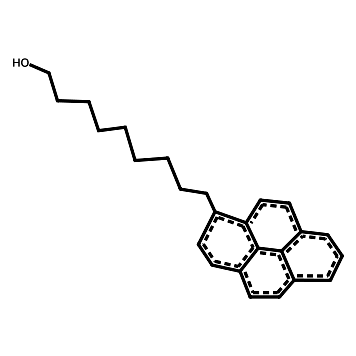 OCCCCCCCCCc1ccc2ccc3cccc4ccc1c2c34